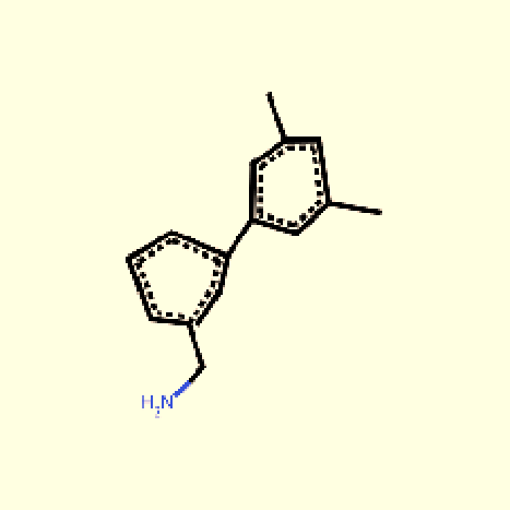 Cc1cc(C)cc(-c2cccc(CN)c2)c1